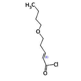 CCCCOCC/C=C/C(=O)Cl